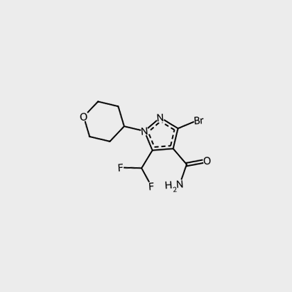 NC(=O)c1c(Br)nn(C2CCOCC2)c1C(F)F